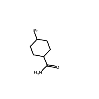 CC(C)C1CCC(C(N)=O)CC1